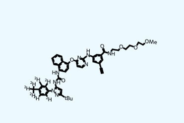 [2H]c1c([2H])c(C([2H])([2H])[2H])c([2H])c([2H])c1-n1nc(C(C)(C)C)cc1NC(=O)Nc1ccc(Oc2ccnc(Nc3cc(C#C)cc(C(=O)NCCOCCOCCOC)c3)n2)c2ccccc12